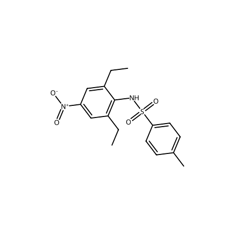 CCc1cc([N+](=O)[O-])cc(CC)c1NS(=O)(=O)c1ccc(C)cc1